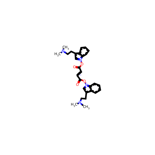 CN(C)CCc1cn(OC(=O)/C=C/C(=O)On2cc(CCN(C)C)c3ccccc32)c2ccccc12